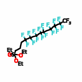 CCO[Si](CCCC(F)(F)C(F)(F)C(F)(F)C(F)(F)C(F)(F)C(F)(F)C(F)(F)C(F)(F)C(F)(F)F)(OCC)OCC